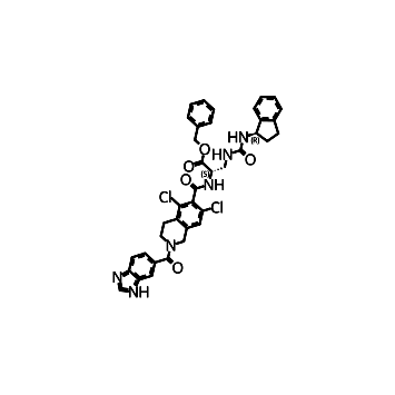 O=C(NC[C@H](NC(=O)c1c(Cl)cc2c(c1Cl)CCN(C(=O)c1ccc3nc[nH]c3c1)C2)C(=O)OCc1ccccc1)N[C@@H]1CCc2ccccc21